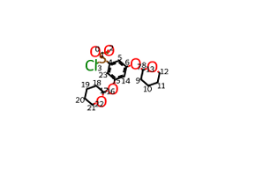 O=S(=O)(Cl)c1cc(OC2CCCCO2)cc(OC2CCCCO2)c1